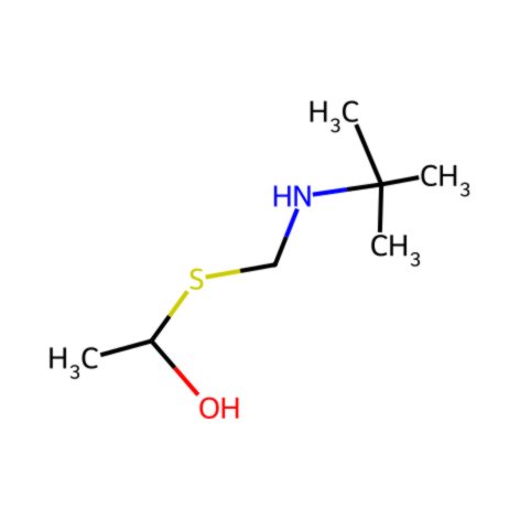 CC(O)SCNC(C)(C)C